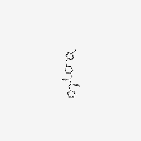 NC(Cc1ccccc1)C(O)CN1CCC(Cc2ccc(F)cc2)CC1